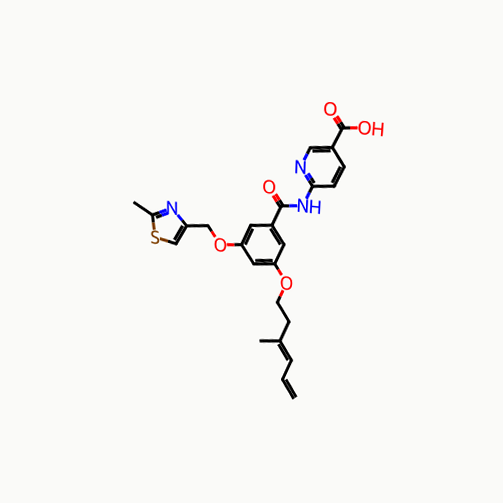 C=C/C=C(\C)CCOc1cc(OCc2csc(C)n2)cc(C(=O)Nc2ccc(C(=O)O)cn2)c1